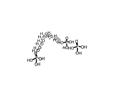 O.O.O.O.O.O.O.O.O.O.O=P(O)(O)O.O=P(O)(O)O.O=P(O)(O)O